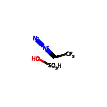 O=S(=O)(O)O.[N-]=[N+]=CC(F)(F)F